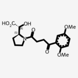 COc1ccc(OC)c(C(=O)CCC(=O)N2CCC[C@H]2[C@@H](O)C(=O)O)c1